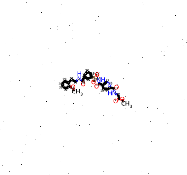 COC(=O)CNC(=O)c1ccc(C(=O)NS(=O)(=O)c2cccc(C(=O)NCCc3ccccc3OC)c2)cn1